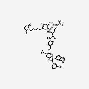 Cc1cccc(-c2nc(CN(C(=O)OCc3ccc(NC(=O)[C@H](CCCNC(N)=O)NC(=O)[C@@H](NC(=O)CCCCCN4C(=O)C=CC4=O)C(C)C)cc3)C3CC3)[nH]c2-c2ccc3ncnn3c2)n1